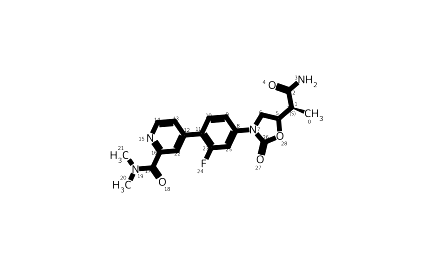 C[C@H](C(N)=O)C1CN(c2ccc(-c3ccnc(C(=O)N(C)C)c3)c(F)c2)C(=O)O1